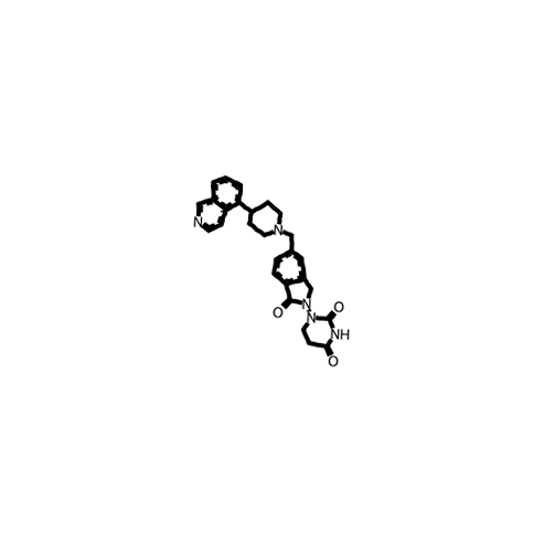 O=C1CCN(N2Cc3cc(CN4CCC(c5cccc6cnccc56)CC4)ccc3C2=O)C(=O)N1